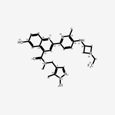 CCn1ncc(CN(C)C(=O)c2cc(-c3ccc(NC4CN(CC(F)(F)F)C4)c(C)n3)nc3ccc(O)cc23)c1C